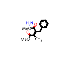 COC(=O)/C(C)=C(/Cc1ccccc1)C(=O)OC.N